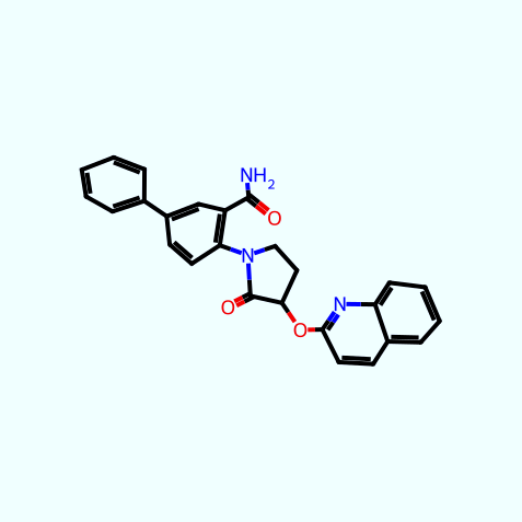 NC(=O)c1cc(-c2ccccc2)ccc1N1CCC(Oc2ccc3ccccc3n2)C1=O